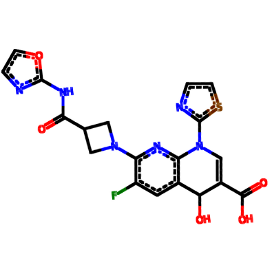 O=C(O)C1=CN(c2nccs2)c2nc(N3CC(C(=O)Nc4ncco4)C3)c(F)cc2C1O